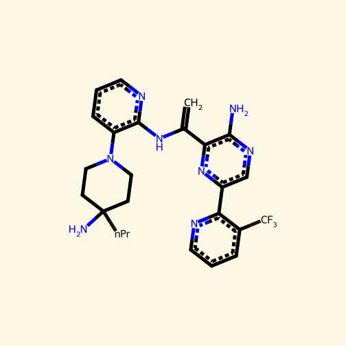 C=C(Nc1ncccc1N1CCC(N)(CCC)CC1)c1nc(-c2ncccc2C(F)(F)F)cnc1N